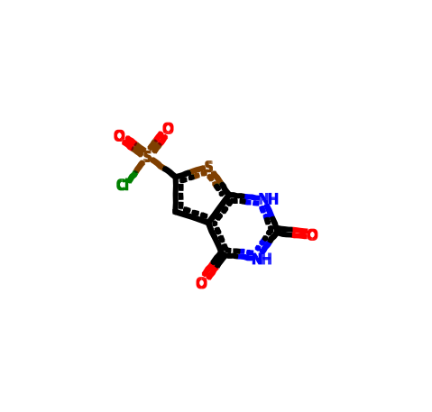 O=c1[nH]c(=O)c2cc(S(=O)(=O)Cl)sc2[nH]1